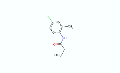 CCOC(=O)CC(=O)Nc1ccc(Cl)cc1C